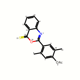 CC(=O)Oc1cc(C)c(-c2nc3ccccc3c(=S)o2)cc1C